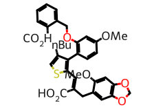 CCCCc1csc(C=C(Cc2cc3c(cc2OC)OCO3)C(=O)O)c1-c1ccc(OC)cc1OCc1ccccc1C(=O)O